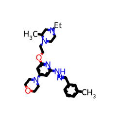 CCN1CCN(CCOc2cc(N3CCOCC3)cc(N/N=C/c3cccc(C)c3)n2)C(C)C1